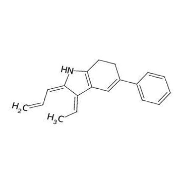 C=C/C=c1/[nH]c2c(/c1=C/C)C=C(c1ccccc1)CC2